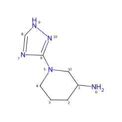 NC1CCCN(c2nc[nH]n2)C1